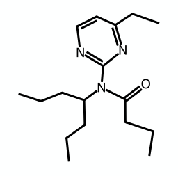 CCCC(=O)N(c1nccc(CC)n1)C(CCC)CCC